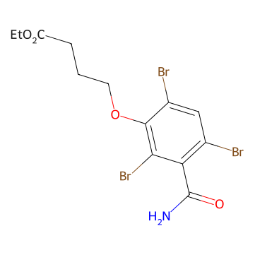 CCOC(=O)CCCOc1c(Br)cc(Br)c(C(N)=O)c1Br